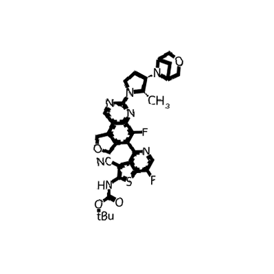 C[C@H]1[C@@H](N2C3COCC2C3)CCN1c1ncc2c3c(c(-c4ncc(F)c5sc(NC(=O)OC(C)(C)C)c(C#N)c45)c(F)c2n1)COC3